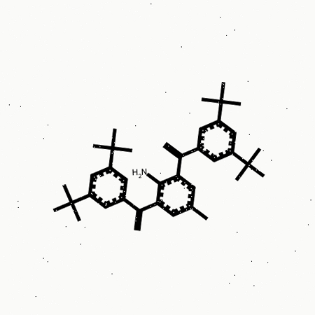 C=C(c1cc(C(C)(C)C)cc(C(C)(C)C)c1)c1cc(C)cc(C(=C)c2cc(C(C)(C)C)cc(C(C)(C)C)c2)c1N